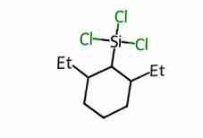 CCC1CCCC(CC)C1[Si](Cl)(Cl)Cl